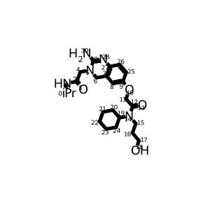 CC(C)NC(=O)CN1Cc2cc(OCC(=O)N(CCCO)C3CCCCC3)ccc2N=C1N